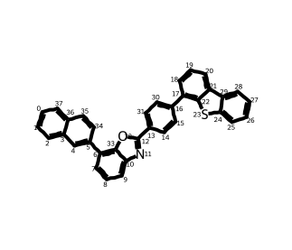 c1ccc2cc(-c3cccc4nc(-c5ccc(-c6cccc7c6sc6ccccc67)cc5)oc34)ccc2c1